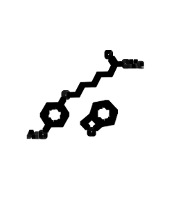 COC(=O)CCCCCOc1ccc(OC(C)=O)cc1.c1ccc2c(c1)CO2